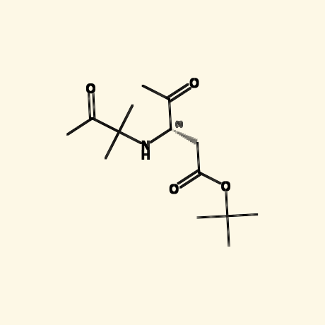 CC(=O)[C@H](CC(=O)OC(C)(C)C)NC(C)(C)C(C)=O